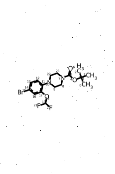 CC(C)(C)OC(=O)N1CCN(c2ccc(Br)cc2OC(F)F)CC1